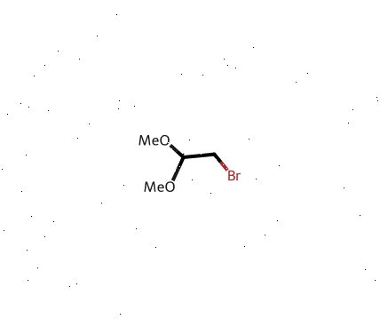 CO[C](CBr)OC